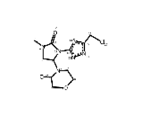 CN1CC(N2CCOCC2Cl)N(c2nnc(CCl)s2)C1=O